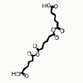 O=C(O)CCCCC(=O)OC(=O)CCCCC(=O)OC(=O)CCCCC(=O)O